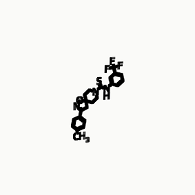 Cc1ccc(C2=NOC3(CCN(C(=S)Nc4cccc(C(F)(F)F)c4)CC3)C2)cc1